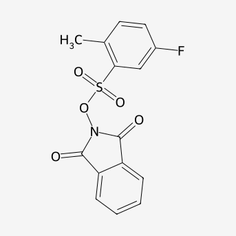 Cc1ccc(F)cc1S(=O)(=O)ON1C(=O)c2ccccc2C1=O